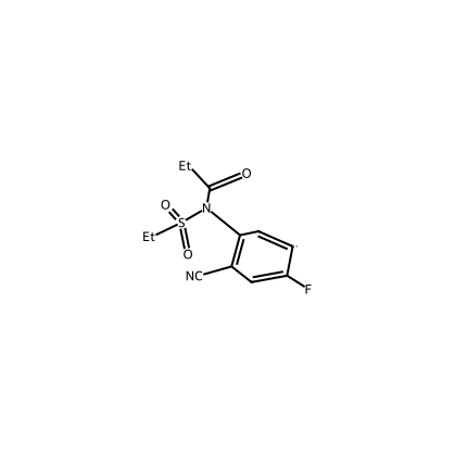 CCC(=O)N(c1c[c]c(F)cc1C#N)S(=O)(=O)CC